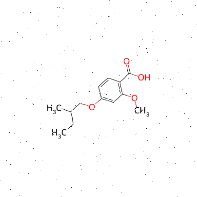 CCC(C)COc1ccc(C(=O)O)c(OC)c1